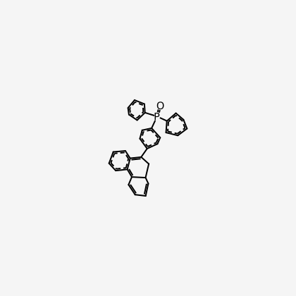 O=P(c1ccccc1)(c1ccccc1)c1ccc(C2=c3ccccc3=C3C=CC=CC3C2)cc1